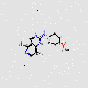 CC(C)(C)O[C@H]1CC[C@H](Nc2ncc3c(Cl)ncc(I)c3n2)CC1